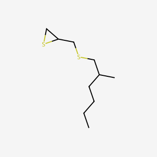 CCCCC(C)CSCC1CS1